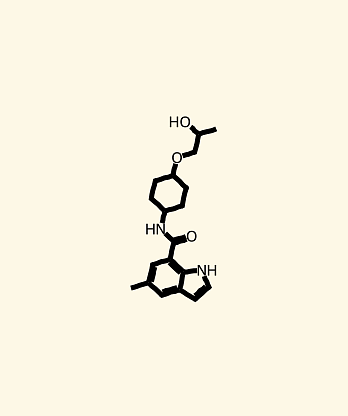 Cc1cc(C(=O)NC2CCC(OCC(C)O)CC2)c2[nH]ccc2c1